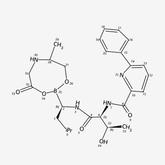 CC(C)C[C@H](NC(=O)[C@@H](NC(=O)c1cccc(-c2ccccc2)n1)[C@@H](C)O)B1OCC(C)NCC(=O)O1